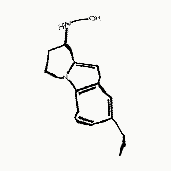 CCc1ccc2c(c1)cc1n2CCC1NO